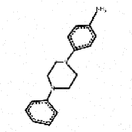 Nc1ccc(N2CCN(c3ccccc3)CC2)cc1